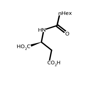 CCCCCCC(=O)N[C@@H](CC(=O)O)C(=O)O